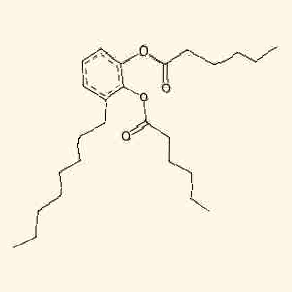 CCCCCCCCc1cccc(OC(=O)CCCCC)c1OC(=O)CCCCC